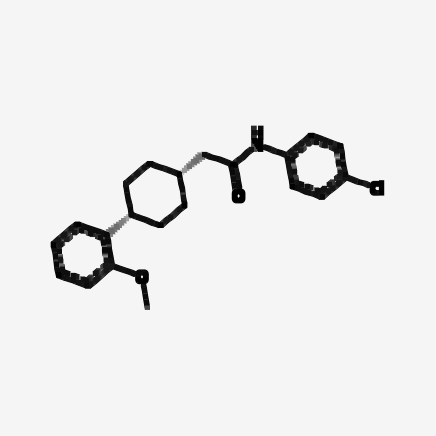 COc1ccccc1[C@H]1CC[C@@H](CC(=O)Nc2ccc(Cl)cc2)CC1